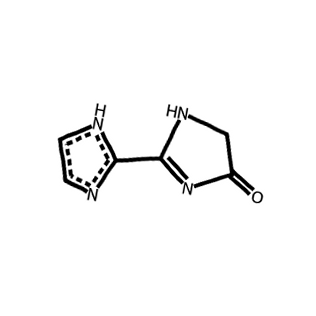 O=C1CNC(c2ncc[nH]2)=N1